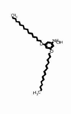 CCCCCCCCCCCCCCCOc1cc(N)cc(OCCCCCCCCCCCCCCC)c1.Cl